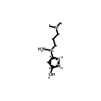 CN(C)CCCN(N)c1cc(O)ns1